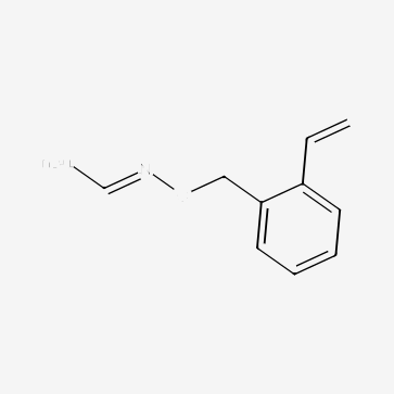 C=Cc1ccccc1CON=CCCCC